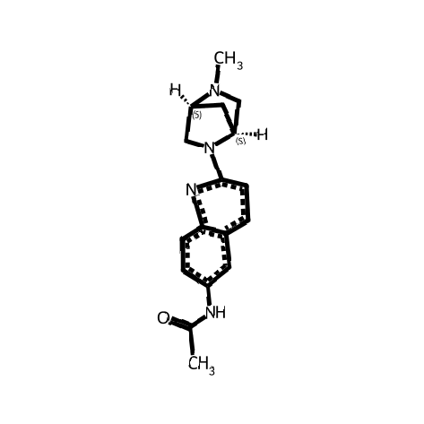 CC(=O)Nc1ccc2nc(N3C[C@@H]4C[C@H]3CN4C)ccc2c1